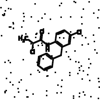 CC(Cl)C(=O)Nc1ccc(Cl)cc1Cc1ccccc1